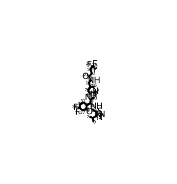 CC(C)c1nnsc1C(=O)N[C@H](c1cn2ncc(CNC(=O)CCC(F)(F)F)cc2n1)C1CCC(F)(F)CC1